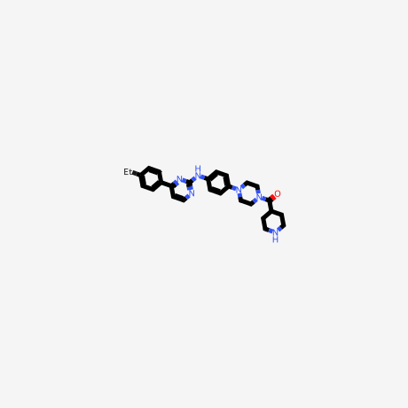 CCc1c[c]c(-c2ccnc(Nc3ccc(N4CCN(C(=O)C5CCNCC5)CC4)cc3)n2)cc1